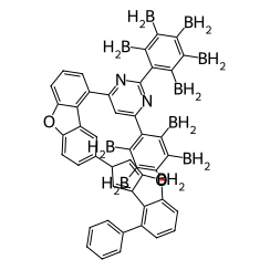 Bc1c(B)c(B)c(-c2cc(-c3cccc4oc5ccc(C6C=c7oc8cccc(-c9ccccc9)c8c7=C6)cc5c34)nc(-c3c(B)c(B)c(B)c(B)c3B)n2)c(B)c1B